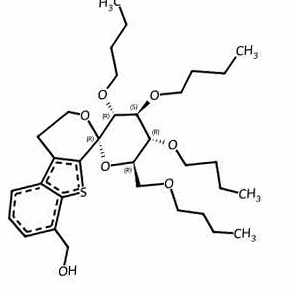 CCCCOC[C@H]1O[C@]2(OCCc3c2sc2c(CO)cccc32)[C@H](OCCCC)[C@@H](OCCCC)[C@@H]1OCCCC